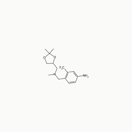 CN(Cc1ccc(N)cc1C(F)(F)F)CC1COC(C)(C)O1